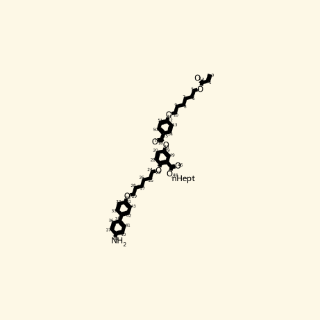 C=CC(=O)OCCCCCCOc1ccc(C(=O)Oc2ccc(OCCCCCCOc3ccc(-c4ccc(N)cc4)cc3)c(C(=O)OCCCCCCC)c2)cc1